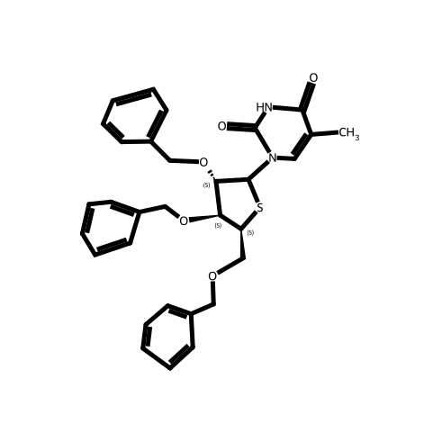 Cc1cn(C2S[C@@H](COCc3ccccc3)[C@@H](OCc3ccccc3)[C@@H]2OCc2ccccc2)c(=O)[nH]c1=O